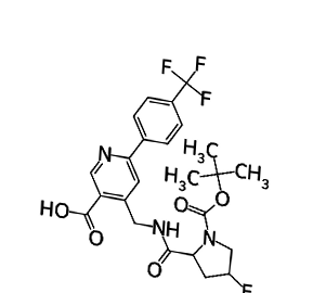 CC(C)(C)OC(=O)N1CC(F)CC1C(=O)NCc1cc(-c2ccc(C(F)(F)F)cc2)ncc1C(=O)O